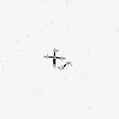 N[SiH3].O=P(O)(O)O